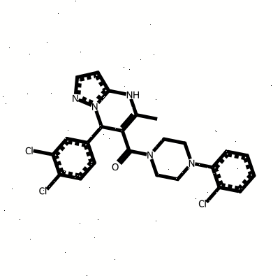 CC1=C(C(=O)N2CCN(c3ccccc3Cl)CC2)C(c2ccc(Cl)c(Cl)c2)n2nccc2N1